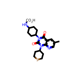 Cc1cnc2c(c1)c(=O)n(C1CCC(NC(=O)O)CC1)c(=O)n2C1CCSCC1